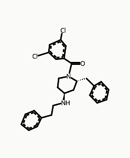 O=C(c1cc(Cl)cc(Cl)c1)N1CC[C@H](NCCc2ccccc2)C[C@H]1Cc1ccccc1